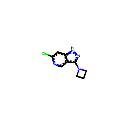 Clc1cc2[nH]nc(N3CCC3)c2cn1